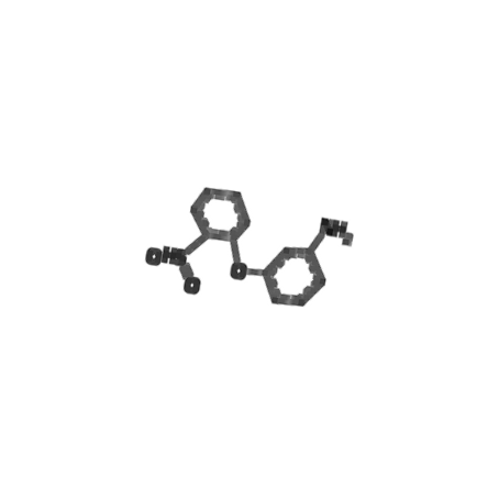 Nc1cccc(Oc2ccccc2[SH](=O)=O)c1